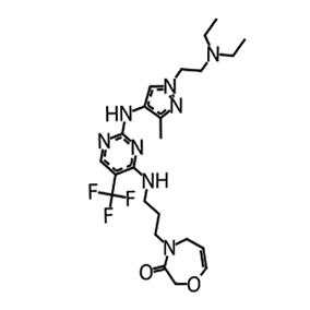 CCN(CC)CCn1cc(Nc2ncc(C(F)(F)F)c(NCCCN3CC=COCC3=O)n2)c(C)n1